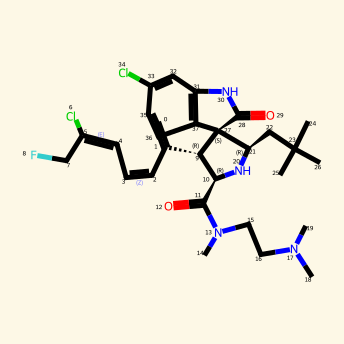 C=C(/C=C\C=C(\Cl)CF)[C@H]1[C@H](C(=O)N(C)CCN(C)C)N[C@H](CC(C)(C)C)[C@]12C(=O)Nc1cc(Cl)ccc12